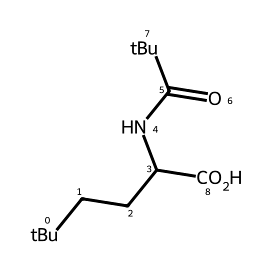 CC(C)(C)CCC(NC(=O)C(C)(C)C)C(=O)O